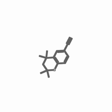 C#Cc1ccc2c(c1)C(C)(C)CC(C)(C)O2